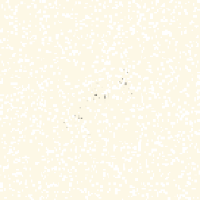 CC1(C)c2cc(-c3ccc(-c4nc(-c5ccccc5)cc(-c5ccccc5)n4)cc3)ccc2Oc2ccc(-c3ccc(-c4nc(-c5ccccc5)cc(-c5ccccc5)n4)cc3)cc21